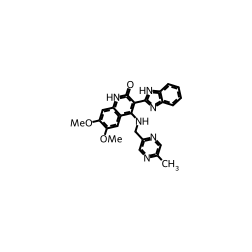 COc1cc2[nH]c(=O)c(-c3nc4ccccc4[nH]3)c(NCc3cnc(C)cn3)c2cc1OC